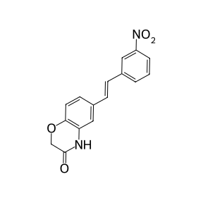 O=C1COc2ccc(/C=C/c3cccc([N+](=O)[O-])c3)cc2N1